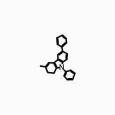 CC1=Cc2c(n(-c3ccccc3)c3ccc(-c4ccccc4)cc23)CC1